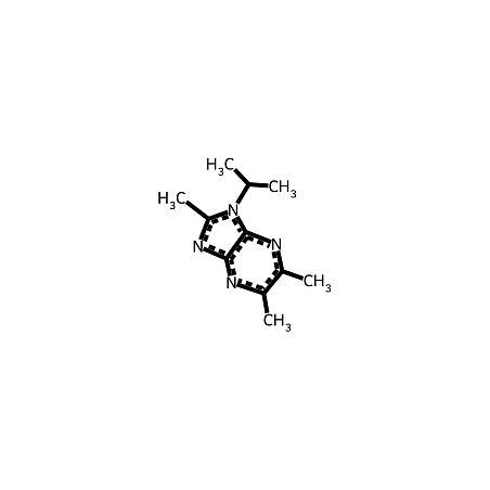 Cc1nc2nc(C)n(C(C)C)c2nc1C